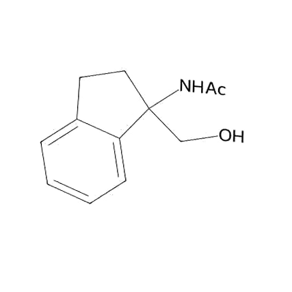 CC(=O)NC1(CO)CCc2ccccc21